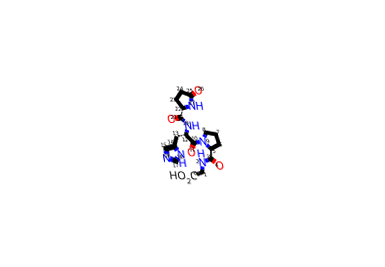 O=C(O)CNC(=O)[C@@H]1CCCN1C(=O)[C@H](Cc1cnc[nH]1)NC(=O)[C@@H]1CCC(=O)N1